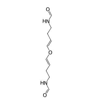 O=CNCCC=COC=CCCNC=O